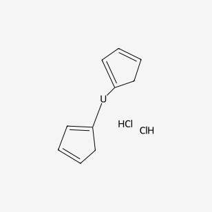 C1=CC[C]([U][C]2=CC=CC2)=C1.Cl.Cl